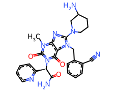 Cn1c(=O)n([C@@H](C(N)=O)c2ccccn2)c(=O)c2c1nc(N1CCCC(N)C1)n2Cc1ccccc1C#N